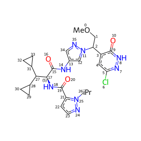 COCC(c1cc(Cl)n[nH]c1=O)n1cc(NC(=O)[C@@H](NC(=O)c2ccnn2C(C)C)C(C2CC2)C2CC2)cn1